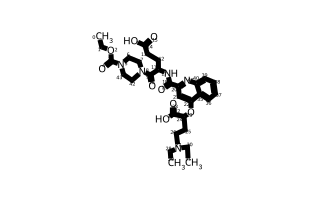 CCOC(=O)N1CCN(C(=O)C(CCC(=O)O)NC(=O)c2cc(OC(CCN(CC)CC)C(=O)O)c3ccccc3n2)CC1